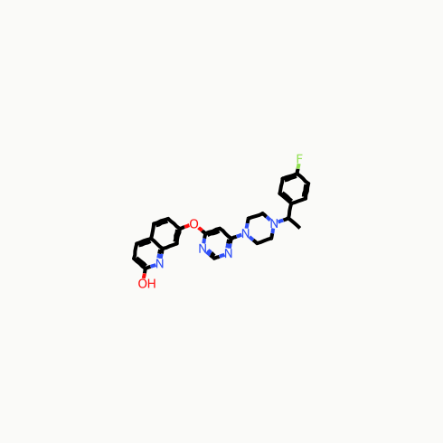 CC(c1ccc(F)cc1)N1CCN(c2cc(Oc3ccc4ccc(O)nc4c3)ncn2)CC1